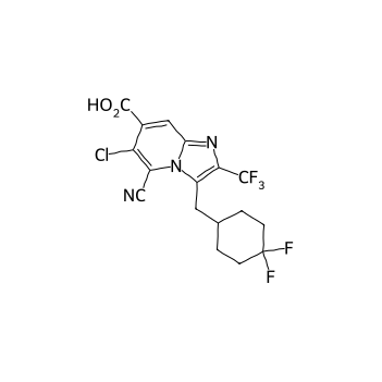 N#Cc1c(Cl)c(C(=O)O)cc2nc(C(F)(F)F)c(CC3CCC(F)(F)CC3)n12